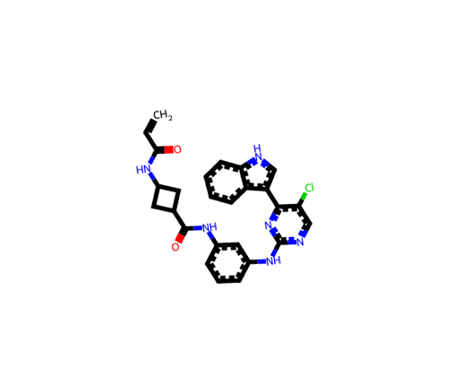 C=CC(=O)NC1CC(C(=O)Nc2cccc(Nc3ncc(Cl)c(-c4c[nH]c5ccccc45)n3)c2)C1